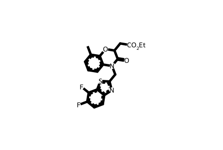 CCOC(=O)CC1Oc2c(C)cccc2N(Cc2nc3ccc(F)c(F)c3s2)C1=O